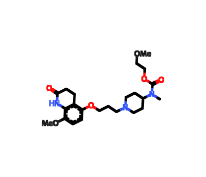 COCCOC(=O)N(C)C1CCN(CCCOc2ccc(OC)c3c2CCC(=O)N3)CC1